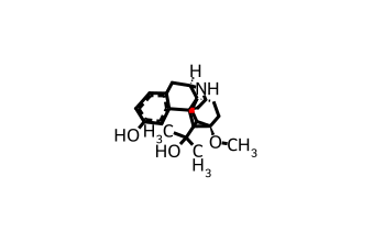 CO[C@]12CC[C@@]3(CC1C(C)(C)O)[C@H]1Cc4ccc(O)cc4[C@@]3(CCN1)C2